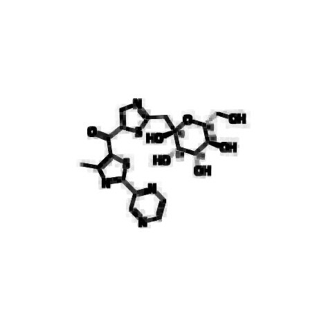 Cc1nc(-c2cnccn2)sc1C(=O)c1cnc(C[C@]2(O)O[C@H](CO)[C@@H](O)[C@H](O)[C@@H]2O)s1